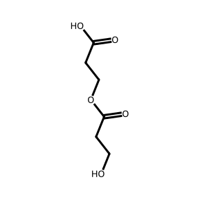 O=C(O)CCOC(=O)CCO